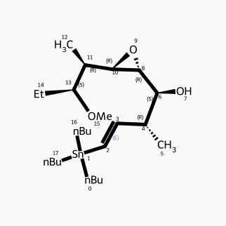 CCC[CH2][Sn](/[CH]=C/[C@@H](C)[C@H](O)[C@H]1O[C@@H]1[C@H](C)[C@H](CC)OC)([CH2]CCC)[CH2]CCC